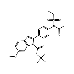 CCS(=O)(=O)N(C(C)=O)c1ccc(-c2cc3ccc(OC)cc3n2C(=O)OC(C)(C)C)cc1